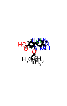 C[Si](C)(C)CCOCn1c(-c2n[nH]c3ncnc(N)c23)c(Cl)c2ccc(C(=O)O)cc21